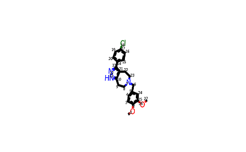 COc1ccc(CN2CCc3[nH]nc(-c4ccc(Cl)cc4)c3CC2)cc1OC